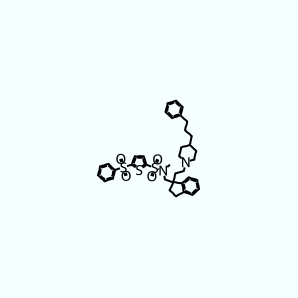 CN(CC1(CCN2CCC(CCCc3ccccc3)CC2)CCc2ccccc21)S(=O)(=O)c1ccc(S(=O)(=O)c2ccccc2)s1